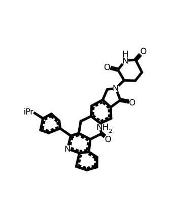 CC(C)c1ccc(-c2nc3ccccc3c(C(N)=O)c2Cc2ccc3c(c2)CN(C2CCC(=O)NC2=O)C3=O)cc1